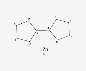 C1CCC(C2CCCC2)C1.[Zn]